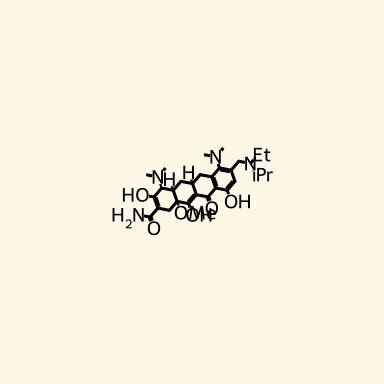 CCN(Cc1cc(O)c2c(c1N(C)C)C[C@H]1C[C@H]3[C@H](N(C)C)C(O)=C(C(N)=O)C[C@@]3(OC)C(O)=C1C2=O)C(C)C